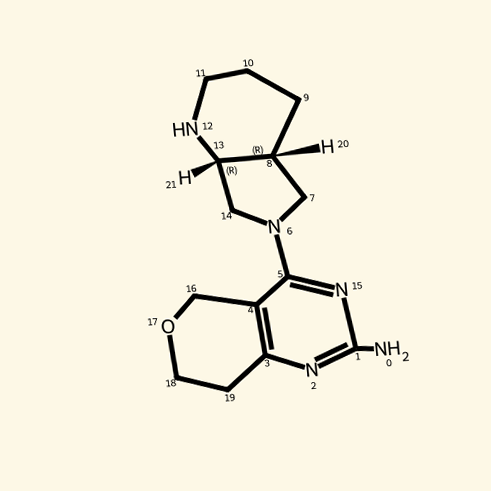 Nc1nc2c(c(N3C[C@H]4CCCN[C@H]4C3)n1)COCC2